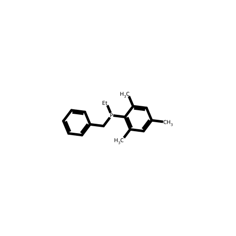 CCP(Cc1ccccc1)c1c(C)cc(C)cc1C